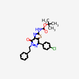 CC(C)(C)OC(=O)Nc1nc2c(=O)n(CCc3ccccc3)nc(-c3ccc(Cl)cc3)c2s1